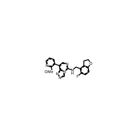 COc1ncccc1-c1cnc(NCc2c(F)ccc3c2CCO3)n2cnnc12